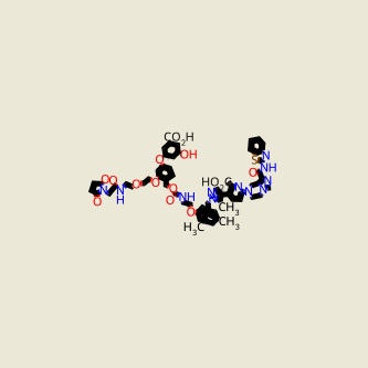 Cc1c(-c2ccc(N3CCn4cnc(C(=O)Nc5nc6ccccc6s5)c4C3)nc2C(=O)O)cnn1CC12CC3(C)CC(C)(C1)CC(OCCNC(=O)OCc1ccc(O[C@H]4C[C@@H](O)C[C@@H](C(=O)O)C4)cc1OCCOCCNC(=O)CN1C(=O)C=CC1=O)(C3)C2